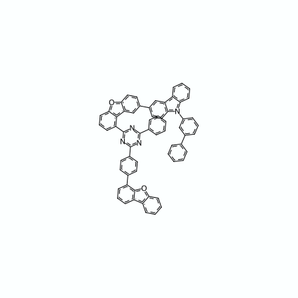 c1ccc(-c2cccc(-n3c4ccccc4c4cc(-c5ccc6oc7cccc(-c8nc(-c9ccccc9)nc(-c9ccc(-c%10cccc%11c%10oc%10ccccc%10%11)cc9)n8)c7c6c5)ccc43)c2)cc1